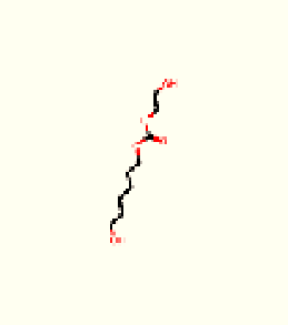 O=C(OCCO)OCCCCCCO